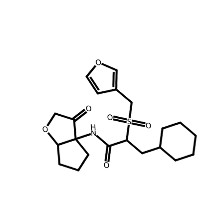 O=C(NC12CCCC1OCC2=O)C(CC1CCCCC1)S(=O)(=O)Cc1ccoc1